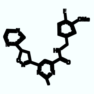 COc1cc(CNC(=O)c2cc(C3=NOC(c4cnccn4)C3)nc(C)n2)ccc1F